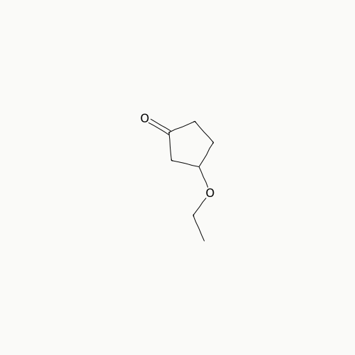 CCOC1CCC(=O)C1